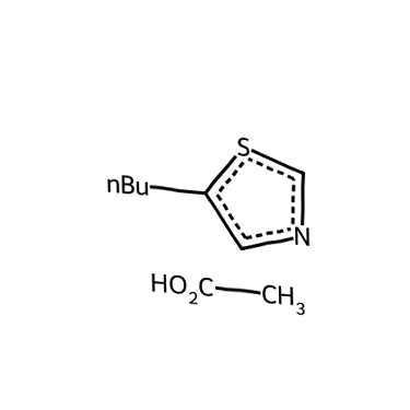 CC(=O)O.CCCCc1cncs1